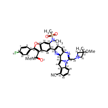 CNC(=O)c1c(-c2ccc(F)cc2)oc2cc(N(C)S(C)(=O)=O)c(-c3ccc4nc(CN5CC(C)(OC)C5)n5c6cccc(C#N)c6cc5c4n3)cc12